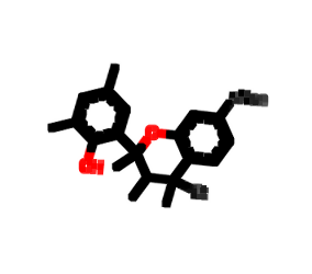 CCCCCCCCCc1ccc2c(c1)OC(C)(c1cc(C)cc(C)c1O)C(C)C2(C)CC